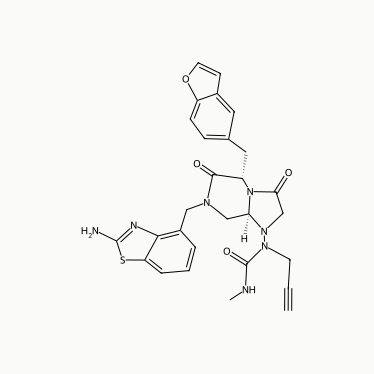 C#CCN(C(=O)NC)N1CC(=O)N2[C@@H](Cc3ccc4occc4c3)C(=O)N(Cc3cccc4sc(N)nc34)C[C@@H]21